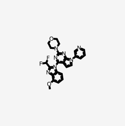 COc1cccc2c1nc(C(F)F)n2-c1nc(N2CCOCC2)nc2c1ccn2-c1cccnc1